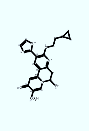 CC(C)C1Cc2nc(OCCC3CC3)c(-c3nccs3)cc2-c2cc(=O)c(C(=O)O)cn21